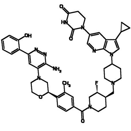 Cc1cc(C(=O)N2CC[C@H](CN3CCC(n4cc(C5CC5)c5cc(N6CCC(=O)NC6=O)cnc54)CC3)[C@@H](F)C2)ccc1[C@@H]1CN(c2cc(-c3ccccc3O)nnc2N)CCO1